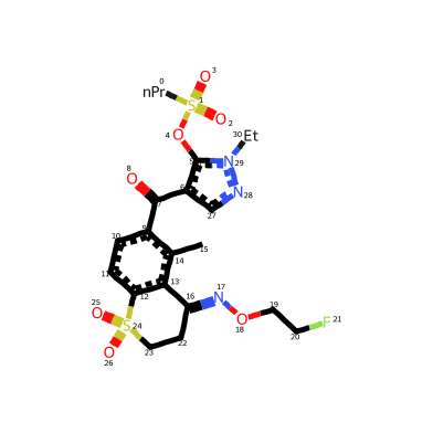 CCCS(=O)(=O)Oc1c(C(=O)c2ccc3c(c2C)C(=NOCCF)CCS3(=O)=O)cnn1CC